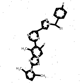 CCC(c1ccc(F)cc1)n1cc(-c2cncc(-c3c(F)cn4nc(-n5c(C)ccc5C)nc4c3C)n2)cn1